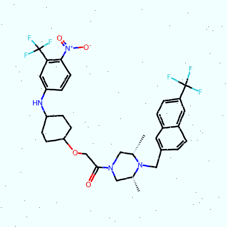 C[C@@H]1CN(C(=O)COC2CCC(Nc3ccc([N+](=O)[O-])c(C(F)(F)F)c3)CC2)C[C@H](C)N1Cc1ccc2cc(C(F)(F)F)ccc2c1